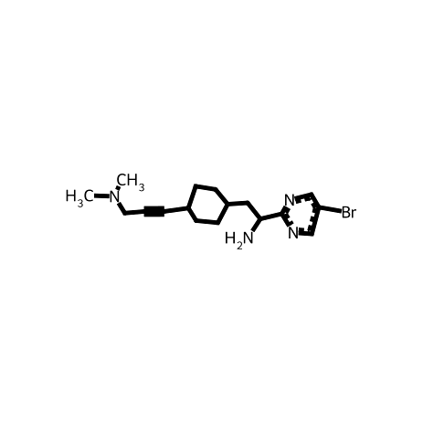 CN(C)CC#CC1CCC(CC(N)c2ncc(Br)cn2)CC1